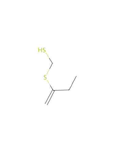 C=C(CC)SCS